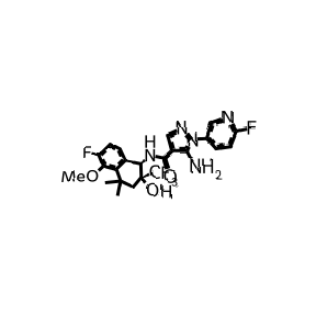 COc1c(F)ccc2c1C(C)(C)C[C@](O)(C(F)(F)F)[C@@H]2NC(=O)c1cnn(-c2ccc(F)nc2)c1N